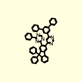 c1ccc(-c2cc(-c3ccccc3)cc(-c3cc(-c4cc5c(cc4-c4ncnc(-c6ccccc6)n4)C(c4ccccc4)(c4ccccc4)c4ccccc4-5)ncn3)c2)cc1